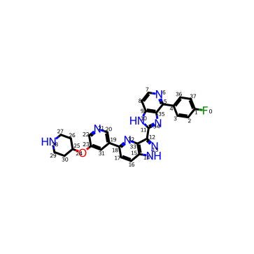 Fc1ccc(-c2nccc3[nH]c(-c4n[nH]c5ccc(-c6cncc(OC7CCNCC7)c6)nc45)nc23)cc1